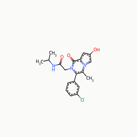 Cc1c(-c2cccc(Cl)c2)n(CC(=O)NC(C)C)c(=O)c2cc(O)cn12